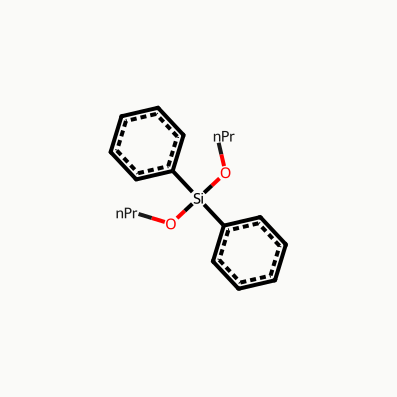 CCCO[Si](OCCC)(c1ccccc1)c1ccccc1